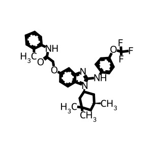 Cc1ccccc1NC(=O)COc1ccc2c(c1)nc(Nc1ccc(OC(F)(F)F)cc1)n2[C@H]1C[C@@H](C)CC(C)(C)C1